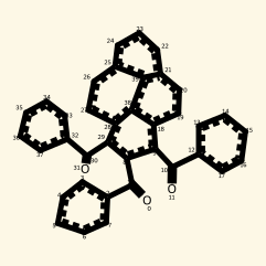 O=C(c1ccccc1)c1c(C(=O)c2ccccc2)c2ccc3cccc4ccc(c1C(=O)c1ccccc1)c2c34